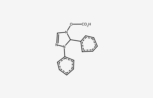 O=C(O)ON1C=NN(c2ccccc2)C1c1ccccc1